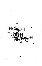 C[C@@H](O)[C@H](N)C(=O)O.NCC(=O)O.O=C(O)CCC(=O)O.OCC(O)CO